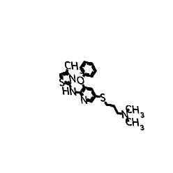 Cc1csc(Nc2ncc(SCCCN(C)C)cc2Oc2ccccc2)n1